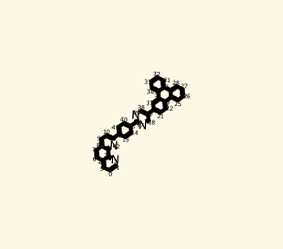 c1cnc2c(c1)ccc1ccc(-c3ccc(-c4ncc(-c5ccc6c7ccccc7c7ccccc7c6c5)cn4)cc3)nc12